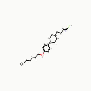 CCCCCCOc1ccc(C2CCC(CC/C=C/F)CC2)cc1